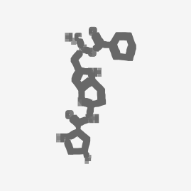 CN(Cc1cc2nc(NC(=O)[C@H]3C[C@@H](F)CN3)ccc2[nH]1)OC(=O)c1ccccc1